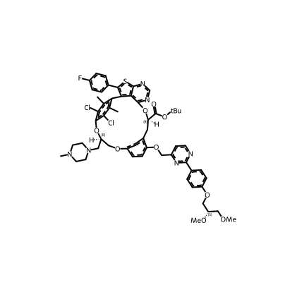 COC[C@@H](COc1ccc(-c2nccc(COc3ccc4cc3C[C@H](C(=O)OC(C)(C)C)Oc3ncnc5sc(-c6ccc(F)cc6)c(c35)-c3c(C)c(Cl)c(c(Cl)c3C)O[C@H](CN3CCN(C)CC3)CO4)n2)cc1)OC